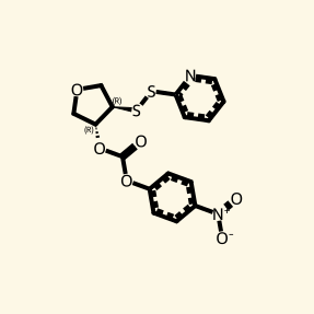 O=C(Oc1ccc([N+](=O)[O-])cc1)O[C@@H]1COC[C@H]1SSc1ccccn1